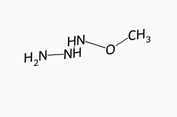 CONNN